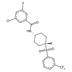 O=C(N[C@H]1CC[C@@](F)(S(=O)(=O)c2cccc(C(F)(F)F)c2)CC1)c1cc(F)cc(Cl)c1